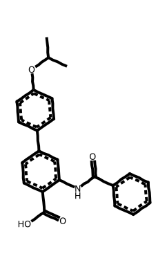 CC(C)Oc1ccc(-c2ccc(C(=O)O)c(NC(=O)c3ccccc3)c2)cc1